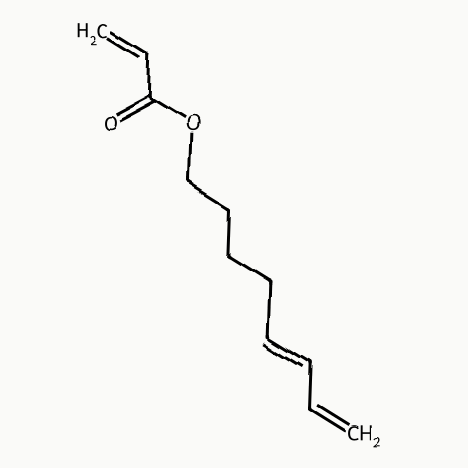 C=CC=CCCCCOC(=O)C=C